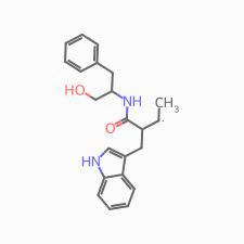 C[CH]C(Cc1c[nH]c2ccccc12)C(=O)NC(CO)Cc1ccccc1